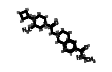 CNC(=O)c1cnc2c(c1)CCN(CC(=O)N1CCN(C3CCC3)C(C)C1)C2